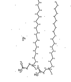 CCCCCCCCCCCCCCCCCCN(C)CCC(=O)O.CCCCCCCCCCCCCCCCCCN(C)CCC(=O)O.[Zn]